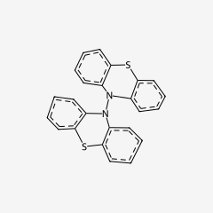 c1ccc2c(c1)Sc1ccccc1N2N1c2ccccc2Sc2ccccc21